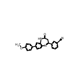 COc1ccc(-c2ccc3c(c2)NC(=O)CC(c2cccc(C#N)c2)=N3)cc1